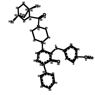 COc1ccc(Sc2c(N3CCN(C(=O)C4C[C@@H]5CC[C@H]4C5)CC3)cnn(-c3ccccc3)c2=O)cc1